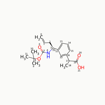 C=CC[C@H](NC(=O)OC(C)(C)C)c1cccc(C(C)C(=O)O)c1